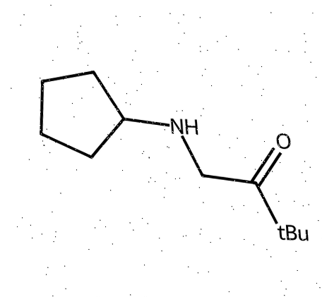 CC(C)(C)C(=O)CNC1CCCC1